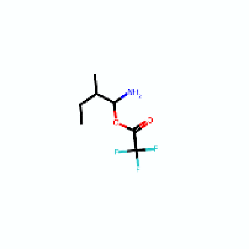 CCC(C)C(N)OC(=O)C(F)(F)F